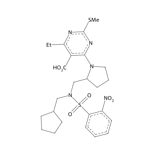 CCc1nc(SC)nc(N2CCCC2CN(CC2CCCC2)S(=O)(=O)c2ccccc2[N+](=O)[O-])c1C(=O)O